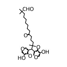 CC(C)(C=O)CCCCCCCC(=O)CCCC(C)(C)C(c1cocc(O)c1=O)c1cocc(O)c1=O